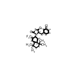 CC1(C)CCC(C)(C)c2cc(C(F)(F)F)c(N3C(=O)SC(=O)C3Cc3cccc(Cl)c3)cc21